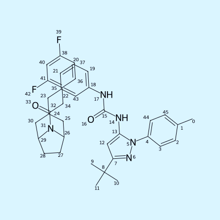 Cc1ccc(-n2nc(C(C)(C)C)cc2NC(=O)Nc2cccc(CC3CC4CCC(C3)N4C(=O)Cc3ccc(F)cc3F)c2)cc1